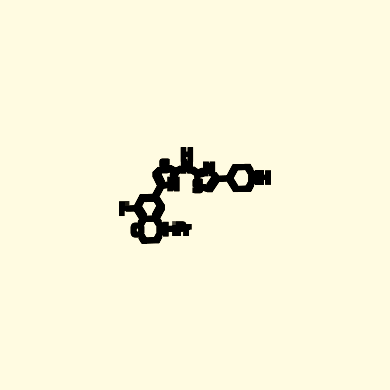 CC(C)N1CCOc2c(F)cc(-c3csc(Nc4nc(C5CCNCC5)cs4)n3)cc21